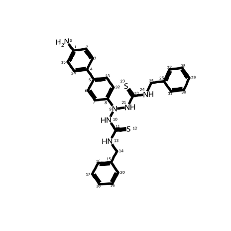 Nc1ccc(-c2ccc(N(NC(=S)NCc3ccccc3)NC(=S)NCc3ccccc3)cc2)cc1